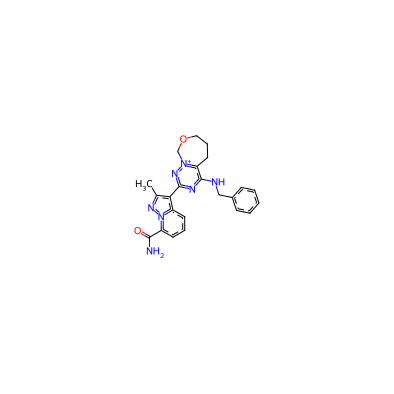 Cc1nn2c(C(N)=O)cccc2c1-c1nc(NCc2ccccc2)c2[n+](n1)COCCC2